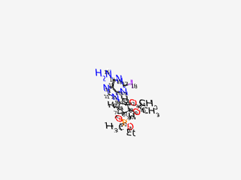 CCOP(C)(=O)C[C@]12C[C@@H]1[C@@H](n1cnc3c(N)nc(I)nc31)[C@@H]1OC(C)(C)O[C@@H]12